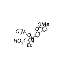 CCc1nn(-c2ccc(-c3ccccc3C(=O)OC)cc2)c(OCCN2CCOCC2)c1C(=O)O